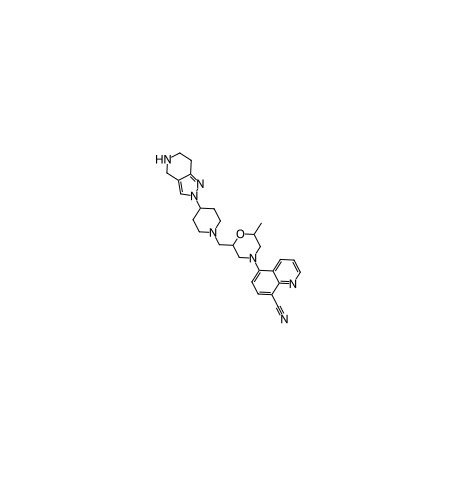 CC1CN(c2ccc(C#N)c3ncccc23)CC(CN2CCC(n3cc4c(n3)CCNC4)CC2)O1